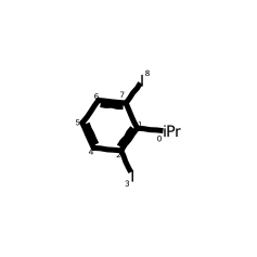 CC(C)c1c(I)cccc1I